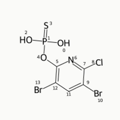 OP(O)(=S)Oc1nc(Cl)c(Br)cc1Br